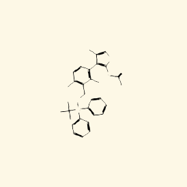 CC(=O)Nc1scc(C)c1-c1ccc(C)c(CO[Si](c2ccccc2)(c2ccccc2)C(C)(C)C)c1C